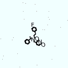 COc1ccc(CN(C(=O)CCc2ccc(F)cc2)C(C)c2ccccc2)cn1